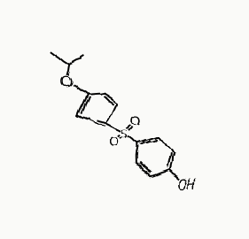 CC(C)Oc1ccc(S(=O)(=O)c2ccc(O)cc2)cc1